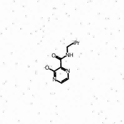 CC(C)CNC(=O)c1nccnc1[O]